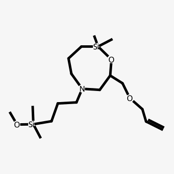 C=CCOCC1CN(CCC[Si](C)(C)OC)CCC[Si](C)(C)O1